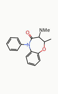 CNC1C(=O)N(c2ccccc2)c2ccccc2OC1C